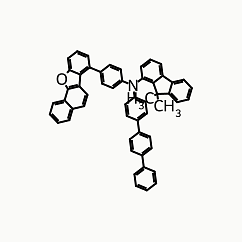 CC1(C)c2ccccc2-c2cccc(N(c3ccc(-c4ccc(-c5ccccc5)cc4)cc3)c3ccc(-c4cccc5oc6c7ccccc7ccc6c45)cc3)c21